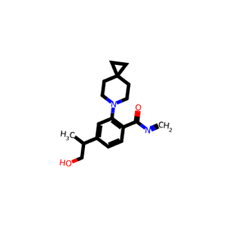 C=NC(=O)c1ccc(C(C)CO)cc1N1CCC2(CC1)CC2